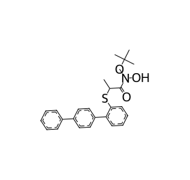 CC(Sc1ccccc1-c1ccc(-c2ccccc2)cc1)C(=O)N(O)OC(C)(C)C